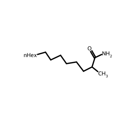 CCCCCCCCCCCCC(C)C(N)=O